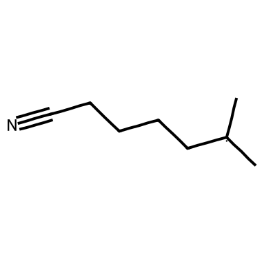 C[C](C)CCCCC#N